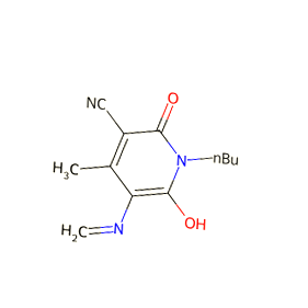 C=Nc1c(C)c(C#N)c(=O)n(CCCC)c1O